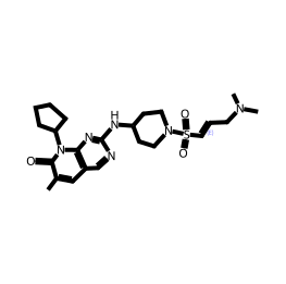 Cc1cc2cnc(NC3CCN(S(=O)(=O)/C=C/CN(C)C)CC3)nc2n(C2CCCC2)c1=O